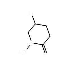 NN1CC(O)CCC1=O